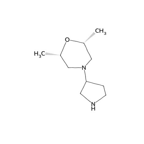 C[C@@H]1CN(C2CCNC2)C[C@H](C)O1